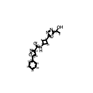 CC(O)c1nnc(C2CC(NC(=O)c3cc(-c4ccccc4)on3)C2)o1